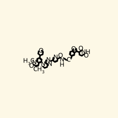 Cc1cc2c(N3CCCc4nc(-c5ccc(C(=O)NCC=C=Cc6ccc7occ(C8CCC(=O)NC8=O)c7c6)nc5)ncc43)cc(C3CCOCC3)cc2n(C)c1=O